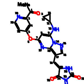 CNC(=O)c1cc(Oc2cc(NC3CC3)n3ncc(/C=C4\NC(=O)NC4=O)c3n2)ccn1